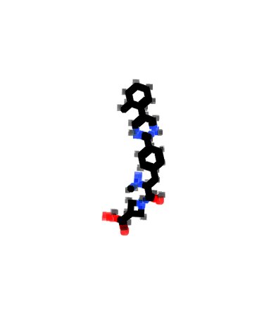 CNC(Cc1ccc(-c2ncc(C3=CCCCC3C)cn2)cc1)C(=O)N1CC(C(=O)O)C1